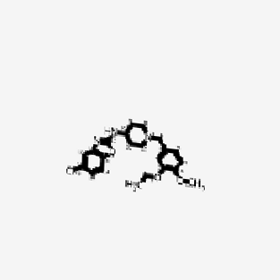 CCOc1cc(CN2CCC(Nc3nc4cc(Cl)ccc4o3)CC2)ccc1OC